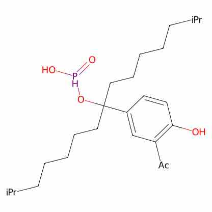 CC(=O)c1cc(C(CCCCCC(C)C)(CCCCCC(C)C)O[PH](=O)O)ccc1O